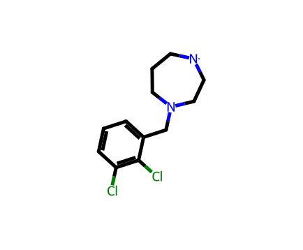 Clc1cccc(CN2CCC[N]CC2)c1Cl